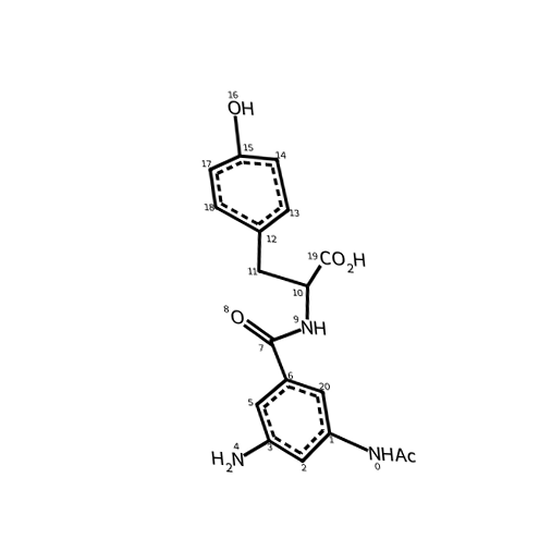 CC(=O)Nc1cc(N)cc(C(=O)NC(Cc2ccc(O)cc2)C(=O)O)c1